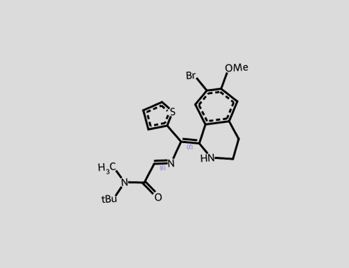 COc1cc2c(cc1Br)/C(=C(/N=C/C(=O)N(C)C(C)(C)C)c1cccs1)NCC2